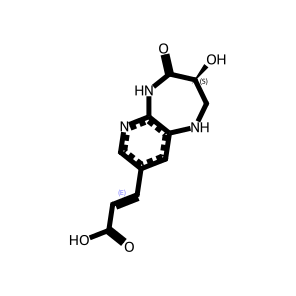 O=C(O)/C=C/c1cnc2c(c1)NC[C@H](O)C(=O)N2